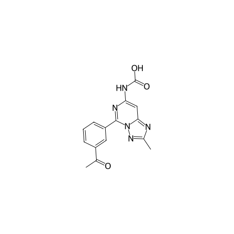 CC(=O)c1cccc(-c2nc(NC(=O)O)cc3nc(C)nn23)c1